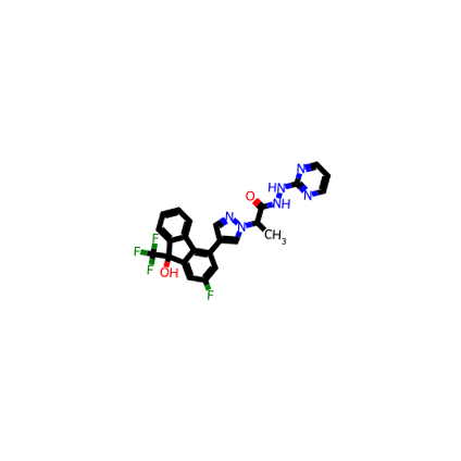 CC(C(=O)NNc1ncccn1)n1cc(-c2cc(F)cc3c2-c2ccccc2C3(O)C(F)(F)F)cn1